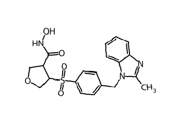 Cc1nc2ccccc2n1Cc1ccc(S(=O)(=O)C2COCC2C(=O)NO)cc1